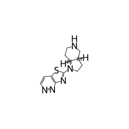 c1cc2sc(N3CC[C@H]4CNCC[C@H]43)nc2nn1